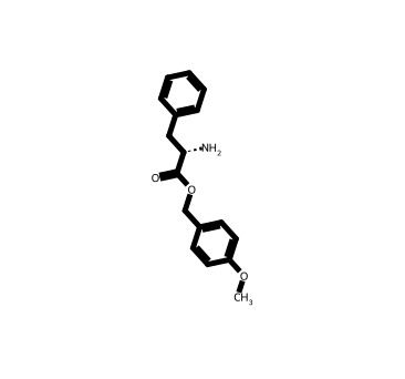 COc1ccc(COC(=O)[C@@H](N)Cc2ccccc2)cc1